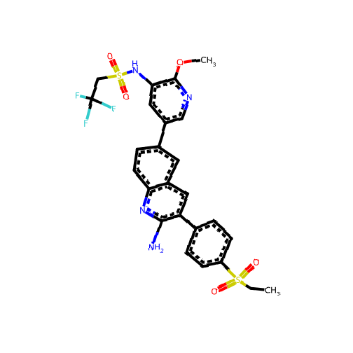 CCS(=O)(=O)c1ccc(-c2cc3cc(-c4cnc(OC)c(NS(=O)(=O)CC(F)(F)F)c4)ccc3nc2N)cc1